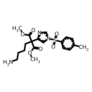 COC(=O)C(CCCCN)(C(=O)OC)c1cn(S(=O)(=O)c2ccc(C)cc2)cn1